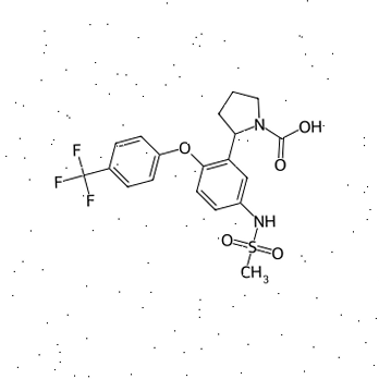 CS(=O)(=O)Nc1ccc(Oc2ccc(C(F)(F)F)cc2)c(C2CCCN2C(=O)O)c1